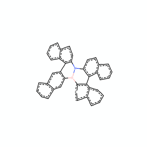 c1ccc2cc3c(cc2c1)B1c2ccc4ccccc4c2-c2c(ccc4ccccc24)N1c1ccc2ccccc2c1-3